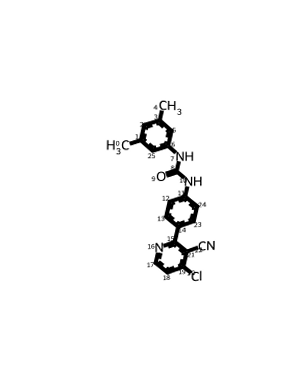 Cc1cc(C)cc(NC(=O)Nc2ccc(-c3nccc(Cl)c3C#N)cc2)c1